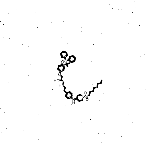 CCCCCCCCS(=O)(=O)N1CCC(Nc2ccc(CCNCC(O)COc3ccc(O[Si](c4ccccc4)(c4ccccc4)C(C)(C)C)cc3)cc2)CC1